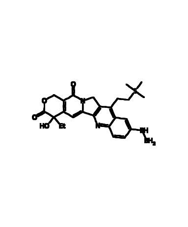 BBc1ccc2nc3c(c(CCS(C)(C)C)c2c1)Cn1c-3cc2c(c1=O)COC(=O)C2(O)CC